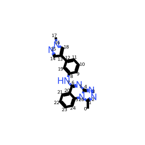 Cc1nnc2nc(Nc3cccc(-c4cnn(C)c4)c3)c3ccccc3n12